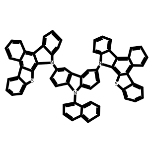 c1ccc2c(-n3c4ccc(-n5c6ccccc6c6c7ccccc7c7c8ccccc8sc7c65)cc4c4cc(-n5c6ccccc6c6c7ccccc7c7c8ccccc8sc7c65)ccc43)cccc2c1